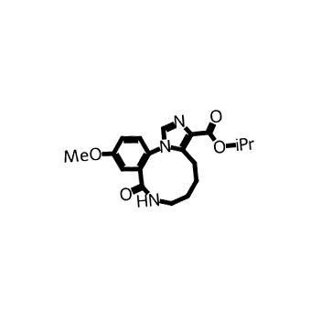 COc1ccc2c(c1)C(=O)NCCCCc1c(C(=O)OC(C)C)ncn1-2